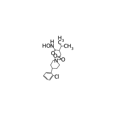 CC(C)C(CS(=O)(=O)N1CCC(c2ccccc2Cl)CC1)C(=O)NO